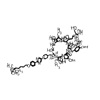 COC(C)(C)CCCCCOc1ccc(-c2ncc(N3CCC(CN[C@H]4C[C@@H](O)CNC(=O)[C@@H]5[C@@H](O)[C@@H](C)CN5C(=O)[C@H]([C@H](O)CCNC(CO)CO)NC(=O)[C@H]([C@H](O)Cc5ccc(O)c(OS(=O)(=O)O)c5)NC(=O)[C@@H]5C[C@@H](O)CN5C(=O)[C@H]([C@@H](C)O)NC4=O)CC3)cn2)cc1